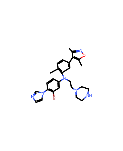 Cc1ccc(-c2c(C)noc2C)cc1N(CCN1CCNCC1)c1ccc(-n2ccnc2)c(Br)c1